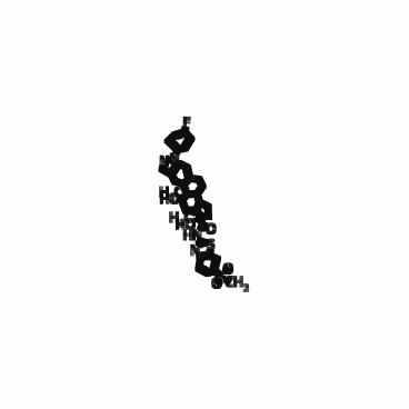 CC12Cc3cnn(-c4ccc(F)cc4)c3C=C1CCC1C2[C@@H](O)CC2(C)C1CC[C@]2(O)C(=O)Nc1nc2ccc(S(C)(=O)=O)cc2s1